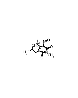 CC(C)Cn1c(N)c(N=O)c(=O)n(C)c1=S